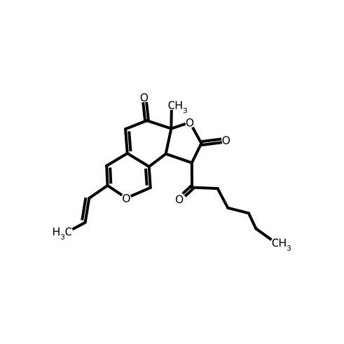 C/C=C/C1=CC2=CC(=O)C3(C)OC(=O)C(C(=O)CCCCC)C3C2=CO1